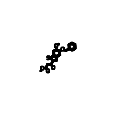 COC(=O)CC(=O)c1cc2cc(OCc3ccccc3)c(OC)cc2[se]1